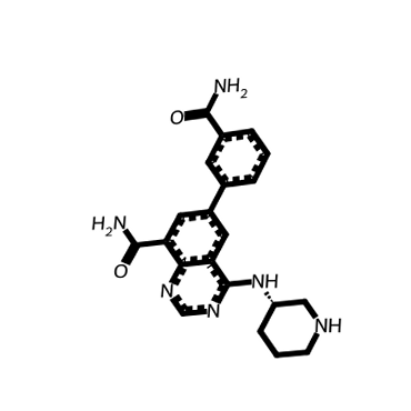 NC(=O)c1cccc(-c2cc(C(N)=O)c3ncnc(N[C@H]4CCCNC4)c3c2)c1